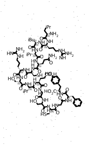 CC[C@H](C)[C@H](NC(=O)[C@H](CCCNC(=N)N)NC(=O)[C@@H](N)CC(C)C)C(=O)N[C@H](C(=O)N[C@@H](CCC(N)=O)C(=O)N[C@@H](CS)C(=O)N[C@@H](CCCNC(=N)N)C(=O)N[C@@H](CO)C(=O)N[C@H](C(=O)N[C@@H](CCC(=O)O)C(=O)NCC(=O)NC(CO)C(=O)N[C@@H](CS)C(=O)NCC(=O)N[C@@H](Cc1ccccc1)C(=O)N[C@@H](Cc1ccc(O)cc1)C(=O)O)C(C)C)C(C)C